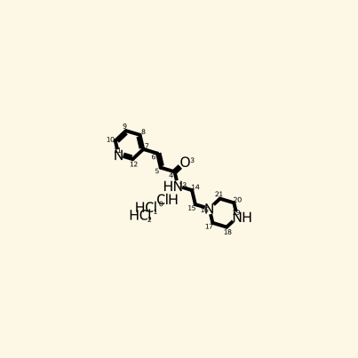 Cl.Cl.Cl.O=C(C=Cc1cccnc1)NCCN1CCNCC1